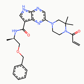 C=CC(=O)N1CCN(c2cnc3[nH]cc(C(=O)N[C@H](C)COCc4ccccc4)c3n2)CC1(C)C